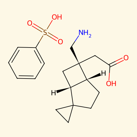 NC[C@]1(CC(=O)O)C[C@@H]2[C@H]1CCC21CC1.O=S(=O)(O)c1ccccc1